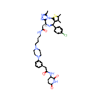 Cc1sc2c(c1C)C(c1ccc(Cl)cc1)=N[C@@H](CC(=O)NCCCCN1CCN(c3cccc(CC(=O)NC4CCC(=O)NC4=O)c3)CC1)c1nnc(C)n1-2